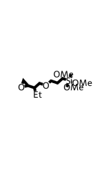 CCC(COCCC[Si](OC)(OC)OC)C1CO1